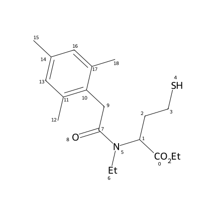 CCOC(=O)C(CCS)N(CC)C(=O)Cc1c(C)cc(C)cc1C